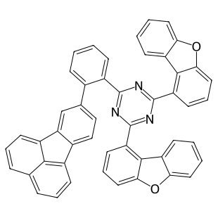 c1ccc(-c2nc(-c3cccc4oc5ccccc5c34)nc(-c3cccc4oc5ccccc5c34)n2)c(-c2ccc3c(c2)-c2cccc4cccc-3c24)c1